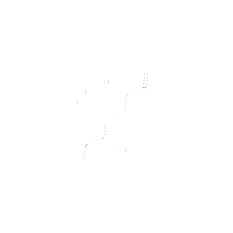 O=C([O-])C(O)SSC(O)C(=O)[O-].[Li+].[Li+]